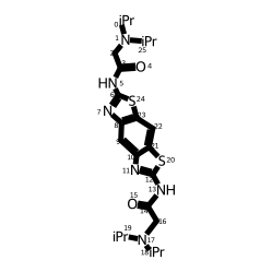 CC(C)N(CC(=O)Nc1nc2cc3nc(NC(=O)CN(C(C)C)C(C)C)sc3cc2s1)C(C)C